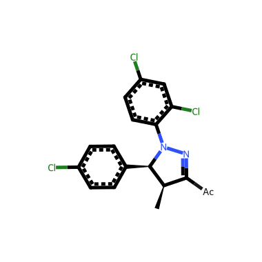 CC(=O)C1=NN(c2ccc(Cl)cc2Cl)[C@H](c2ccc(Cl)cc2)[C@@H]1C